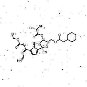 CC(C)[C@H](N)C(=O)O[C@H]1[C@@H](O)[C@](C#N)(c2ccc(/C(=N\C=N)NC(=O)OCO)[nH]2)O[C@@H]1COC(=O)CC1CCCCC1